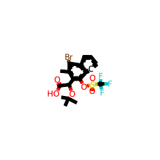 Cc1c(C(OC(C)(C)C)C(=O)O)c(OS(=O)(=O)C(F)(F)F)c2ccccc2c1Br